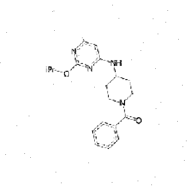 CC(C)Oc1n[c]cc(NC2CCN(C(=O)c3ccccc3)CC2)n1